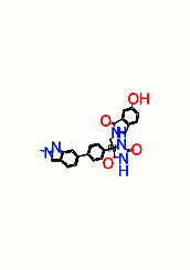 Cn1cc2ccc(-c3ccc([C@]4(CN5Cc6ccc(O)cc6C5=O)NC(=O)NC4=O)cc3)cc2n1